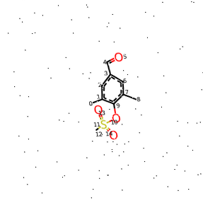 Cc1cc(C=O)cc(C)c1OS(C)(=O)=O